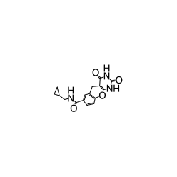 O=C(NCC1CC1)c1ccc2c(c1)Cc1c([nH]c(=O)[nH]c1=O)O2